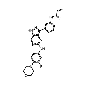 C=CC(=O)Nc1cccc(-c2n[nH]c3cnc(Nc4ccc(N5CCOCC5)c(F)c4)nc23)c1